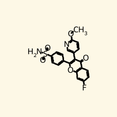 COc1ccc(-c2c(-c3ccc(S(N)(=O)=O)cc3)oc3cc(F)ccc3c2=O)cn1